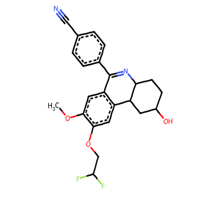 COc1cc2c(cc1OCC(F)F)C1CC(O)CCC1N=C2c1ccc(C#N)cc1